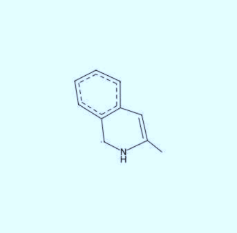 CC1=Cc2ccccc2[CH]N1